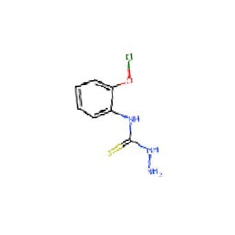 NNC(=S)Nc1ccccc1OCl